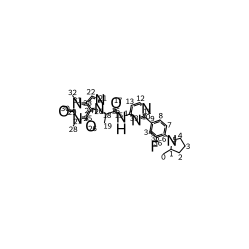 CC1CCCN1c1ccc(-c2nccc(NC(=O)C(C)n3ncc4c3c(=O)n(C)c(=O)n4C)n2)cc1F